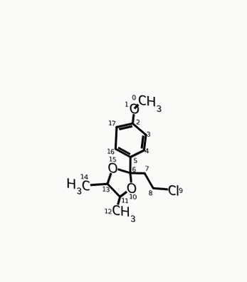 COc1ccc(C2(CCCl)OC(C)C(C)O2)cc1